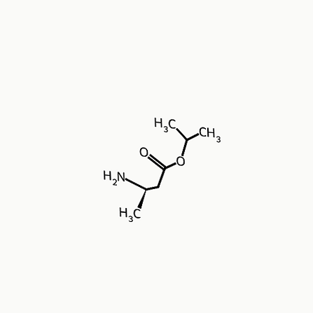 CC(C)OC(=O)C[C@@H](C)N